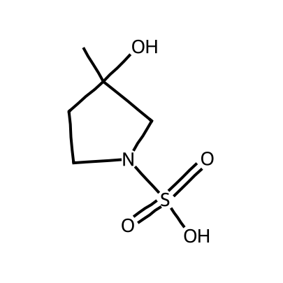 CC1(O)CCN(S(=O)(=O)O)C1